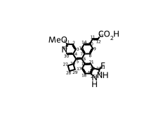 COc1ccc(/C(=C(\c2ccc(/C=C/C(=O)O)cc2)c2ccc3c(c2)C(F)NN3)C2CCC2)cn1